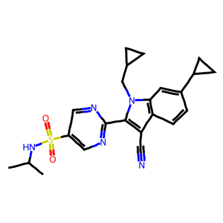 CC(C)NS(=O)(=O)c1cnc(-c2c(C#N)c3ccc(C4CC4)cc3n2CC2CC2)nc1